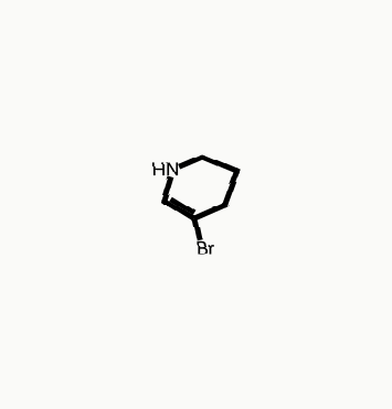 BrC1=CNCCC1